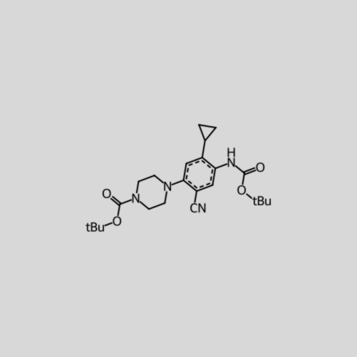 CC(C)(C)OC(=O)Nc1cc(C#N)c(N2CCN(C(=O)OC(C)(C)C)CC2)cc1C1CC1